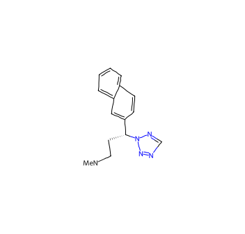 CNCC[C@H](c1ccc2ccccc2c1)n1ncnn1